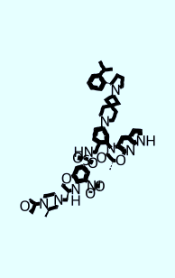 CC(C)c1ccccc1[C@@H]1CCCN1C1CC2(CCN(c3ccc(C(=O)NS(=O)(=O)c4cc5c(c([N+](=O)[O-])c4)N[C@@H](CN4CCN(C6COC6)[C@H](C)C4)CO5)c(N4C[C@@H](C)Oc5nc6[nH]ccc6cc54)c3)CC2)C1